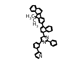 CC1(C)c2cc(-c3ccc(-c4cc(-c5cccc(-c6cccnc6)c5)nc(-c5ccccc5)n4)c4ccccc34)ccc2-c2ccc3ccccc3c21